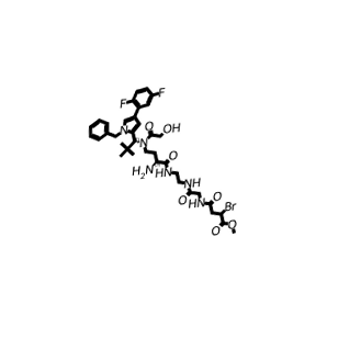 COC(=O)C(Br)CC(=O)NCC(=O)NCCNC(=O)[C@@H](N)CCN(C(=O)CO)[C@@H](c1cc(-c2cc(F)ccc2F)cn1Cc1ccccc1)C(C)(C)C